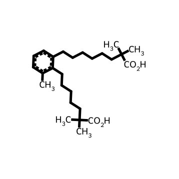 Cc1cccc(CCCCCCC(C)(C)C(=O)O)c1CCCCCC(C)(C)C(=O)O